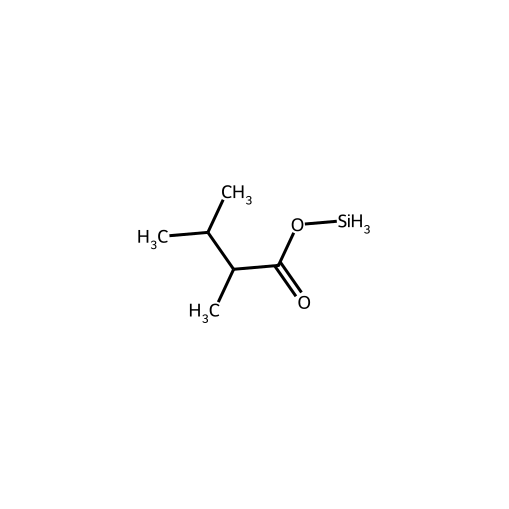 CC(C)C(C)C(=O)O[SiH3]